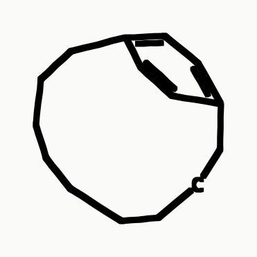 c1cc2ccc1CCCCCCCCC2